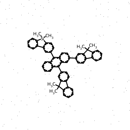 CC1(C)c2ccccc2-c2ccc(-c3ccc4c(-c5ccc6c(c5)-c5ccccc5[Si]6(C)C)c5ccccc5c(-c5ccc6c(c5)C(C)(C)c5ccccc5-6)c4c3)cc21